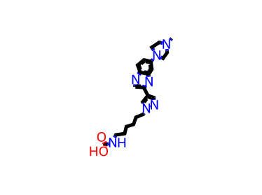 CN1CCN(c2ccc3ncc(-c4cnn(CCCCCCNC(=O)O)c4)nc3c2)CC1